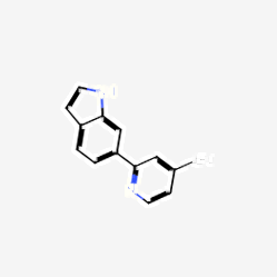 CC(C)(C)c1ccnc(-c2ccc3cc[nH]c3c2)c1